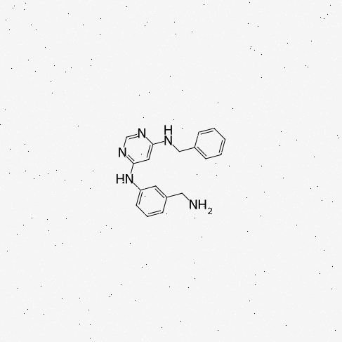 NCc1cccc(Nc2cc(NCc3ccccc3)ncn2)c1